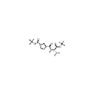 CC(C)[C@@H](C(=O)OC(C)(C)C)N(C)C(=O)C1CCN(C(=O)OC(C)(C)C)C1